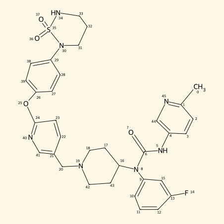 Cc1ccc(NC(=O)N(c2cccc(F)c2)C2CCN(Cc3ccc(Oc4ccc(N5CCCNS5(=O)=O)cc4)nc3)CC2)cn1